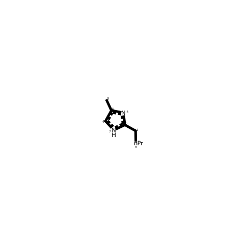 CCC[CH]c1nc(C)c[nH]1